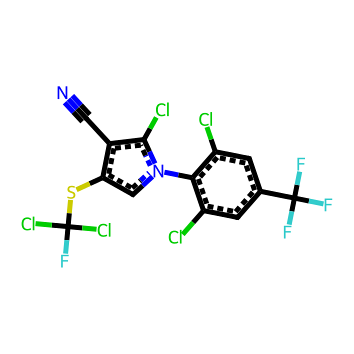 N#Cc1c(SC(F)(Cl)Cl)cn(-c2c(Cl)cc(C(F)(F)F)cc2Cl)c1Cl